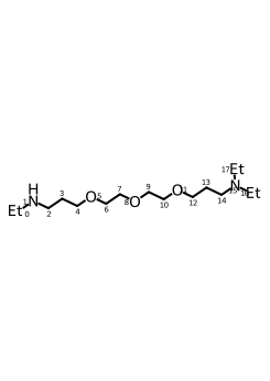 CCNCCCOCCOCCOCCCN(CC)CC